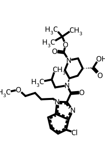 COCCCCn1c(C(=O)N(CC(C)C)[C@H]2C[C@@H](C(=O)O)CN(C(=O)OC(C)(C)C)C2)nc2c(Cl)cccc21